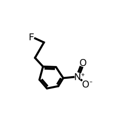 O=[N+]([O-])c1cccc(CCF)c1